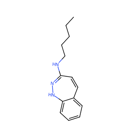 CCCCCNC1=NNc2ccccc2C=C1